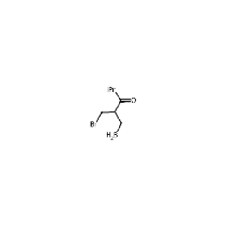 BCC(CBr)C(=O)C(C)C